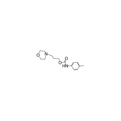 Cc1ccc(NC(=O)OCCCN2CCOCC2)cc1